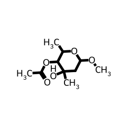 COC1CC(C)(O)C(OC(C)=O)C(C)O1